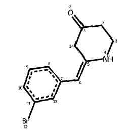 O=C1CCNC(=Cc2cccc(Br)c2)C1